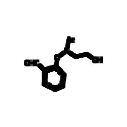 CC(=O)N(CCO)Oc1ccccc1C=O